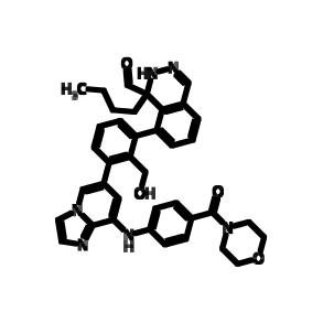 CCCCC1(C=O)NN=Cc2cccc(-c3cccc(-c4cc(Nc5ccc(C(=O)N6CCOCC6)cc5)c5nccn5c4)c3CO)c21